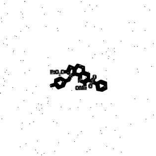 CCOC(=O)c1cc2c(n1Cc1ccc(C)cc1)-c1nc(OC)c(S(=O)(=O)c3ccccc3)cc1CC2